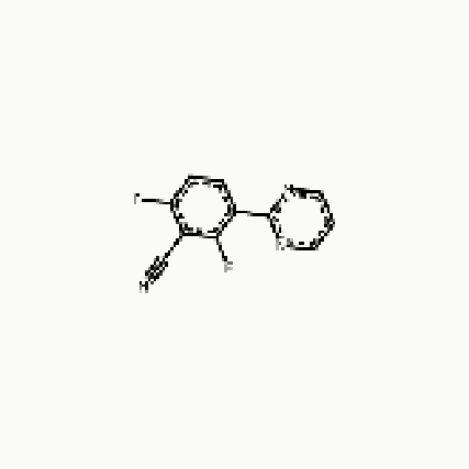 N#Cc1c(F)ccc(-c2ncccn2)c1F